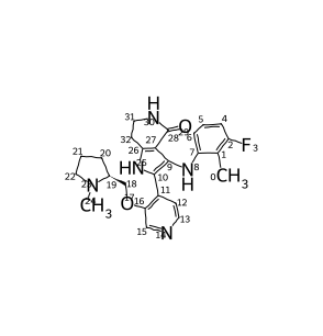 Cc1c(F)cccc1Nc1c(-c2ccncc2OC[C@@H]2CCCN2C)[nH]c2c1C(=O)NCC2